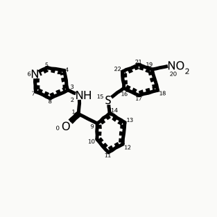 O=C(Nc1ccncc1)c1ccccc1Sc1ccc([N+](=O)[O-])cc1